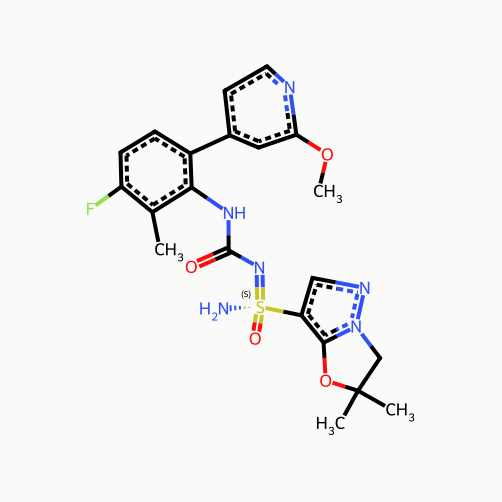 COc1cc(-c2ccc(F)c(C)c2NC(=O)N=[S@](N)(=O)c2cnn3c2OC(C)(C)C3)ccn1